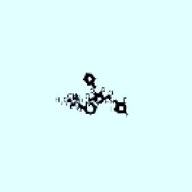 CC(C)(C)[Si](C)(C)OCC1CCCC2CN1C(=O)c1c(OCc3ccccc3)c(=O)c(C(=O)NCc3c(F)cc(F)cc3F)cn12